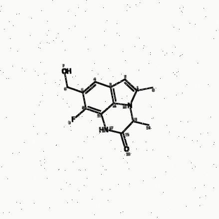 Cc1cc2cc(CO)c(F)c3c2n1C(C)C(=O)N3